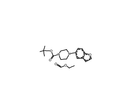 CC(C)(C)OC(=O)N1CCN(c2ccc3occc3c2)CC1.CCOC=O